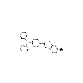 Brc1ccc2c(c1)CCN(C1CCN(C(c3ccccc3)c3ccccc3)CC1)C2